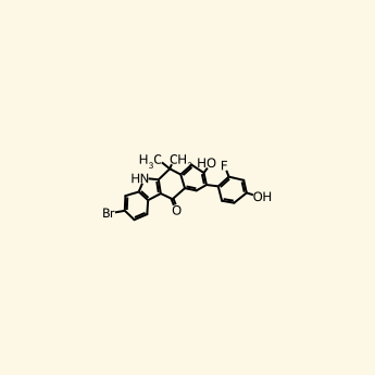 CC1(C)c2cc(O)c(-c3ccc(O)cc3F)cc2C(=O)c2c1[nH]c1cc(Br)ccc21